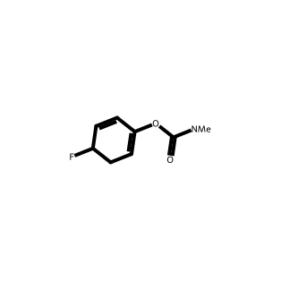 CNC(=O)OC1=CCC(F)C=C1